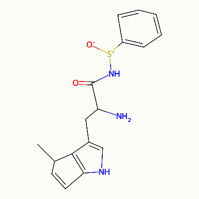 CC1C=Cc2[nH]cc(CC(N)C(=O)N[S+]([O-])c3ccccc3)c21